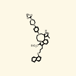 CCOC(=O)c1c(CCCOc2cccc3ccccc23)c2cccc3c2n1CCCN(c1ccc(N2CCN(C(=O)OC(C)(C)C)CC2)cc1)Cc1[nH]nc(C)c1-3